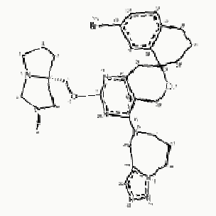 F[C@H]1CN2CCC[C@@]2(COc2nc3c(c(N4CCCn5nncc5C4)n2)COC2(CCCc4ccc(Br)cc42)C3)C1